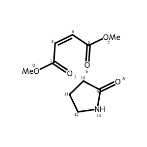 COC(=O)/C=C\C(=O)OC.O=C1CCCN1